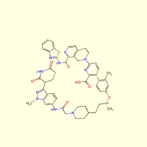 Cc1cc(O[C@H](C)CCC2CCN(CC(=O)Nc3ccc4c(C5CCC(=O)NC5=O)nn(C)c4c3)CC2)ccc1-c1ccc(N2CCc3ccnc(C(=O)Nc4nc5ccccc5s4)c3C2)nc1C(=O)O